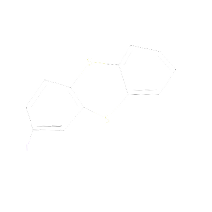 Ic1ccc2c(c1)Sc1ccccc1S2